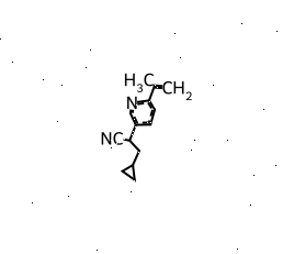 C=C(C)c1ccc(C(C#N)CC2CC2)cn1